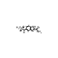 CS(=O)(=O)Nc1ccc2[nH]c(C(N)=O)nc2c1